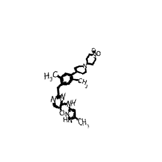 Cc1cc(Nc2nc(Cc3cc(C)c(C4CCN(C5CCS(=O)(=O)CC5)CC4)cc3C)ncc2Cl)n[nH]1